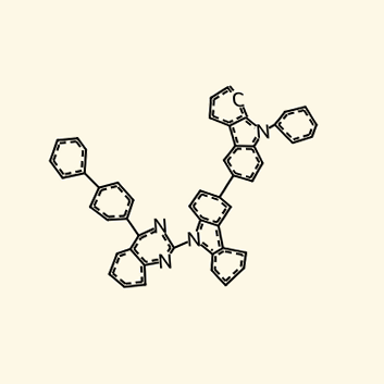 c1ccc(-c2ccc(-c3nc(-n4c5ccccc5c5cc(-c6ccc7c(c6)c6ccccc6n7-c6ccccc6)ccc54)nc4ccccc34)cc2)cc1